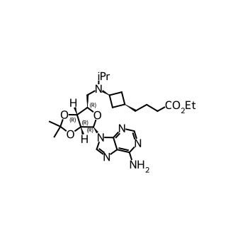 CCOC(=O)CCC[C@H]1C[C@@H](N(C[C@H]2O[C@@H](n3cnc4c(N)ncnc43)[C@@H]3OC(C)(C)O[C@@H]32)C(C)C)C1